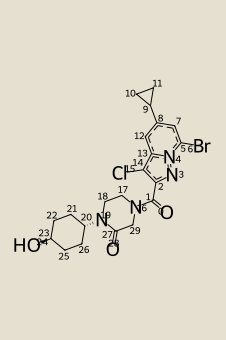 O=C(c1nn2c(Br)cc(C3CC3)cc2c1Cl)N1CCN([C@H]2CC[C@H](O)CC2)C(=O)C1